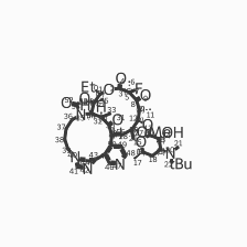 CC[C@H]1OC(=O)[C@@](C)(F)C(=O)[C@H](C)[C@@H](O[C@@H]2O[C@H](C)C[C@H](N(C)C(C)(C)C)[C@H]2O)[C@](C)(OC)C[C@@H]2C(=O)[C@H](C)[C@H]3N(CCCCn4cnc(c4)-c4cnccc42)C(=O)O[C@]13C